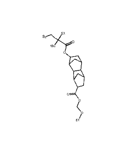 CCOCOC(=O)C1CC2CC1C1C3CC(CC3OC(=O)C(CC)(CC(C)(C)C)C(C)(C)C)C21